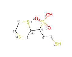 O=S(=O)(O)C(CCS)C1CSCCS1